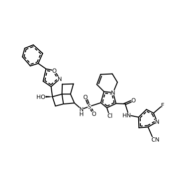 N#Cc1cc(NC(=O)c2c(Cl)c(S(=O)(=O)NC3C4CCC45C3C[C@]5(O)c3cc(-c4ccccc4)on3)c3n2CCC=C3)cc(F)n1